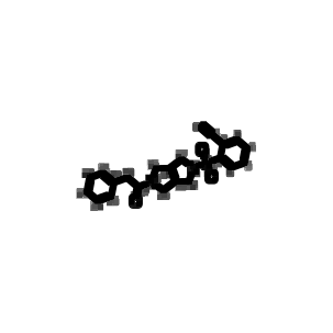 C#Cc1ccccc1S(=O)(=O)N1CC2=C(CN(C(=O)Cc3ccccc3)C2)C1